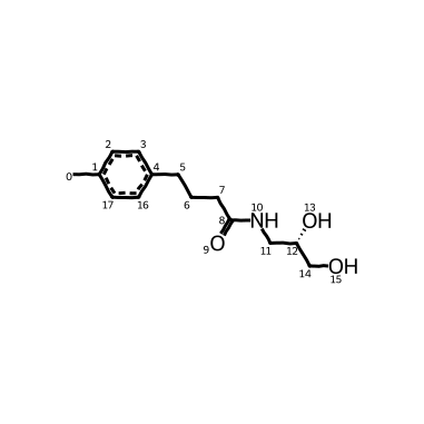 Cc1ccc(CCCC(=O)NC[C@H](O)CO)cc1